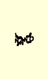 Cc1nc(I)cc(N2CCOC(C)C2)n1